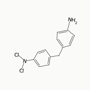 Nc1ccc(Cc2ccc(N(Cl)Cl)cc2)cc1